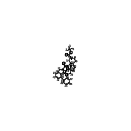 CC(C)(C)OC(=O)N1CCC(F)C(NC(=O)c2cc3cccc(-c4ccccc4OCC(F)(F)F)c3o2)C1